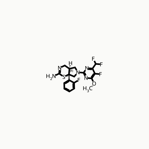 COc1nc(N2C[C@@H]3CN=C(N)S[C@@]3(c3ccccc3F)C2)nc(C(F)F)c1F